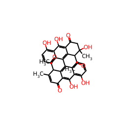 CC(=O)C1C(C)=CC(=O)c2c1c(-c1c3c(c(O)c4c(O)cccc14)C(=O)CC(C)(O)C3C(C)=O)c1cccc(O)c1c2O